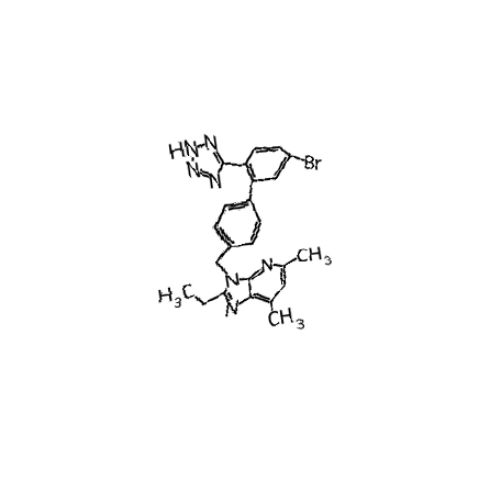 CCc1nc2c(C)cc(C)nc2n1Cc1ccc(-c2cc(Br)ccc2-c2nn[nH]n2)cc1